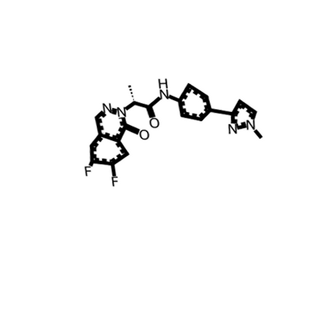 C[C@H](C(=O)Nc1ccc(-c2ccn(C)n2)cc1)n1ncc2cc(F)c(F)cc2c1=O